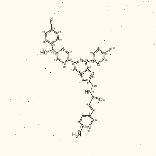 Nc1ccc(/C=C/C(=O)NCc2cc3cc(-c4ccc(C(O)c5ccc(F)cc5)cn4)cc(-c4ccc(F)cc4)c3o2)cn1